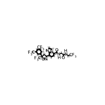 O=C(CNC(=O)c1ccc(C2=NO[C@](c3cc(C(F)(F)F)cc(C(F)(F)F)c3)(C(F)(F)F)C2)c2nccn12)NCC(F)(F)F